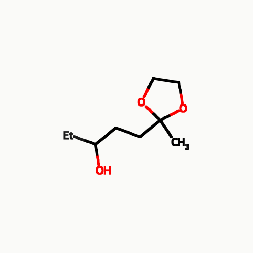 CCC(O)CCC1(C)OCCO1